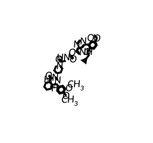 COc1ccc(C2=NN(C3CCN(C(=O)CNC(=O)Oc4c[nH]c5c(-c6c(OCC7CC7)ccc7c6OCO7)ncnc45)CC3)C(=O)[C@@H]3CCCC[C@H]23)cc1OC